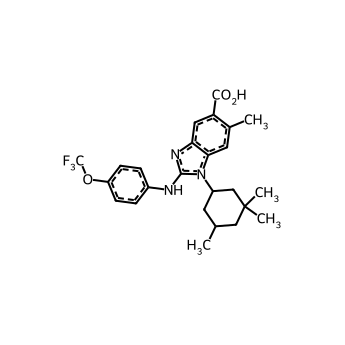 Cc1cc2c(cc1C(=O)O)nc(Nc1ccc(OC(F)(F)F)cc1)n2C1CC(C)CC(C)(C)C1